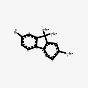 CCCCCCc1ccc2c(c1)C(CCCCCC)(CCCCCC)c1cc(Br)ccc1-2